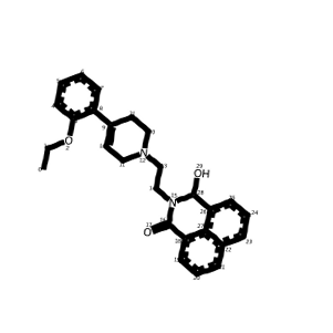 CCOc1ccccc1C1=CCN(CCN2C(=O)c3cccc4cccc(c34)C2O)CC1